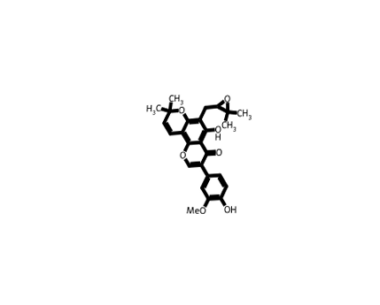 COc1cc(-c2coc3c4c(c(CC5OC5(C)C)c(O)c3c2=O)OC(C)(C)C=C4)ccc1O